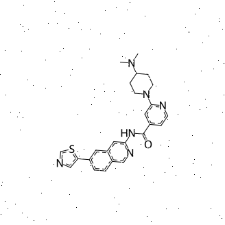 CN(C)C1CCN(c2cc(C(=O)Nc3cc4cc(-c5cncs5)ccc4cn3)ccn2)CC1